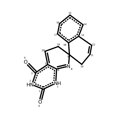 O=c1[nH]c(=O)c2c([nH]1)=NC1(CC=Cc3ccccc31)CC=2